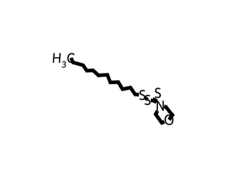 CCCCCCCCCCCCSSC(=S)N1CCOCC1